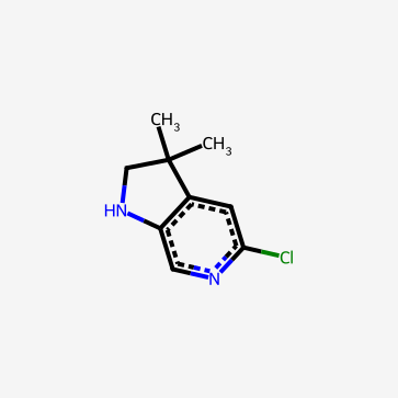 CC1(C)CNc2cnc(Cl)cc21